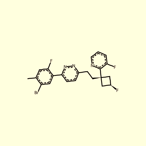 Cc1cc(F)c(-c2ccc(CC[C@]3(c4ncccc4F)C[C@H](F)C3)nn2)cc1Br